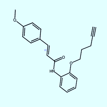 C#CCCCOc1ccccc1NC(=O)/C=C/c1ccc(OC)cc1